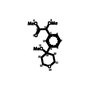 COC(=O)C(OC)c1cccc(C2(OC)CCOCC2)c1